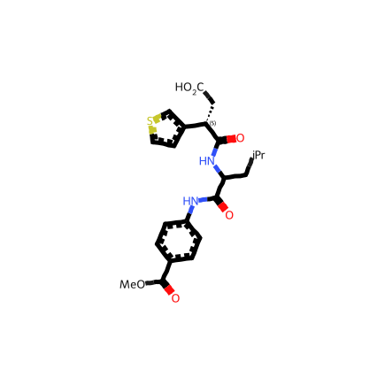 COC(=O)c1ccc(NC(=O)C(CC(C)C)NC(=O)[C@@H](CC(=O)O)c2ccsc2)cc1